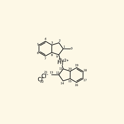 CC1CC2C=CC=CC2[CH]1[Hf+2][CH]1C(C)CC2C=CC=CC21.[Cl-].[Cl-]